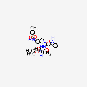 Cc1ccc(S(=O)(=O)Nc2ccc3c(c2)CCN(C(=O)[C@@H](Cc2c[nH]c4ccccc24)NC(=O)C(C)(C)NC(=O)OC(C)(C)C)C3)cc1